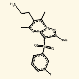 CNc1nn2c(C)c(CCN)c(C)nc2c1S(=O)(=O)c1cccc(F)c1